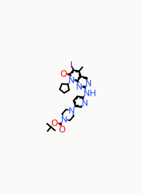 Cc1c(I)c(=O)n(C2CCCC2)c2nc(Nc3ccc(N4CCN(C(=O)OC(C)(C)C)CC4)cn3)ncc12